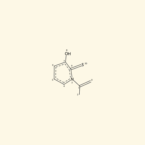 C=C(C)n1cccc(O)c1=S